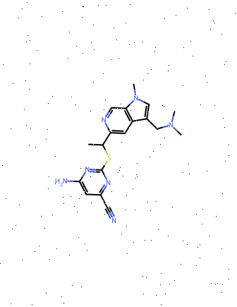 CC(Sc1nc(N)cc(C#N)n1)c1cc2c(CN(C)C)cn(C)c2cn1